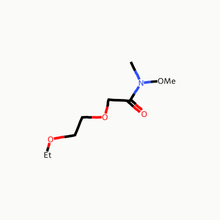 CCOCCOCC(=O)N(C)OC